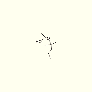 CCCC(C)(C)OC(C)O